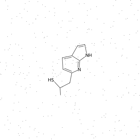 CC(S)Cc1ccc2cc[nH]c2n1